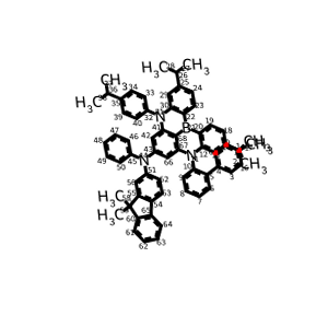 Cc1ccc(-c2ccccc2N2c3cc(C(C)C)ccc3B3c4ccc(C(C)C)cc4N(c4ccc(C(C)C)cc4)c4cc(N(c5ccccc5)c5ccc6c(c5)C(C)(C)c5ccccc5-6)cc2c43)cc1